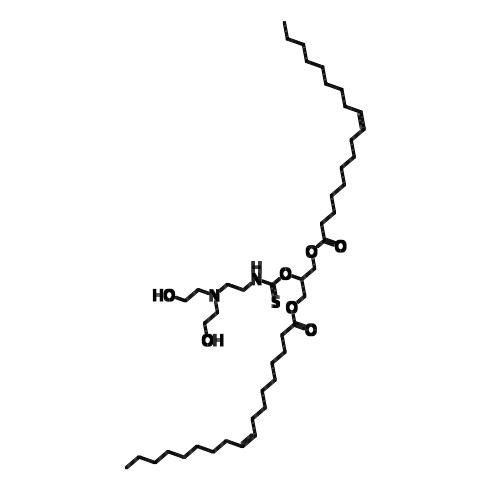 CCCCCCCC/C=C\CCCCCCCC(=O)OCC(COC(=O)CCCCCCC/C=C\CCCCCCCC)OC(=S)NCCN(CCO)CCO